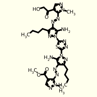 CCCCc1nn(-c2nnc(-n3nc(CCCC)c(/N=N/c4c(C(=O)OC)cnn4C)c3N)s2)c(N)c1/N=N/c1c(C(=O)CO)cnn1C